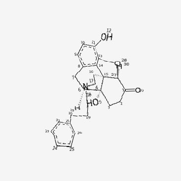 O=C1CC[C@@]2(O)[C@H]3Cc4ccc(O)c5c4[C@@]2(CCN3CCc2ccccc2)[C@H]1O5